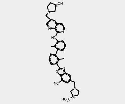 Cc1c(Nc2nccc3cc(CN4CC[C@H](O)C4)cnc23)cccc1-c1cccc(-c2nc3cc(CN4CC[C@@H](C(=O)O)C4)cc(C#N)c3o2)c1C